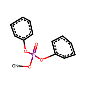 O=NOP(=O)(Oc1ccccc1)Oc1ccccc1